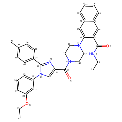 CCNC(=O)c1cc2ccccc2cc1N1CCN(C(=O)c2cn(-c3cccc(OCC)c3)c(-c3ccc(C)cc3)n2)CC1